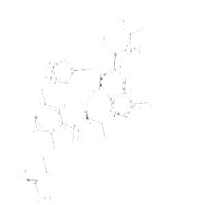 Cc1cnn(Cc2ccc(CCCC(=O)O)c(NC(=O)C(C)n3cc(C)c4cc(C(=O)NC(C)C)ccc43)c2)c1